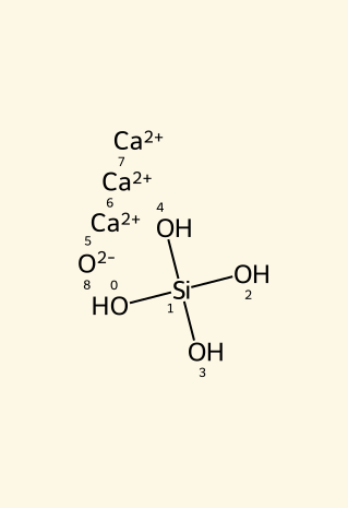 O[Si](O)(O)O.[Ca+2].[Ca+2].[Ca+2].[O-2]